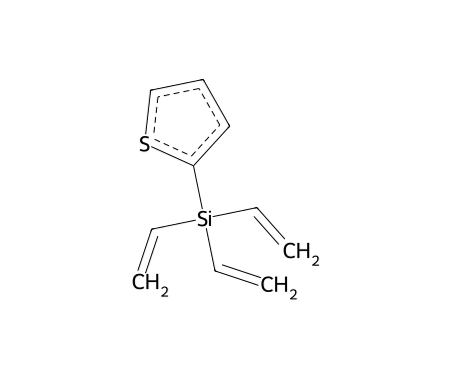 C=C[Si](C=C)(C=C)c1cccs1